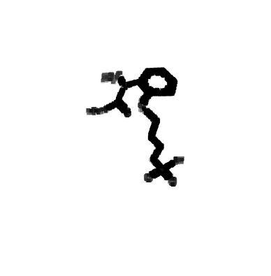 CCCCCC(=O)N(C(=O)O)c1ccccc1SCCCCS(=O)(=O)S